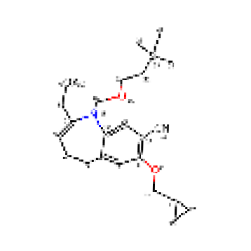 CC(=O)OCC1=CCCc2cc(OCC3CC3)c(C#N)cc2N1COCC[Si](C)(C)C